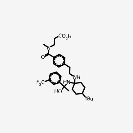 CN(CCC(=O)O)C(=O)c1ccc(CCNC2(NC(C)(O)c3cccc(C(F)(F)F)c3)CCC(C(C)(C)C)CC2)cc1